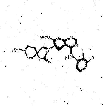 CCCN1CCC2(CC1)CN(c1cc3c(Nc4cccc(Cl)c4F)ncnc3cc1OC)C(=O)O2